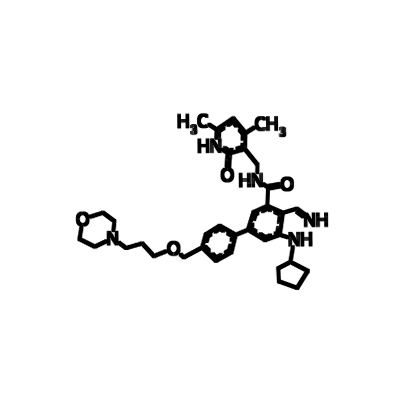 Cc1cc(C)c(CNC(=O)c2cc(-c3ccc(COCCCN4CCOCC4)cc3)cc(NC3CCCC3)c2C=N)c(=O)[nH]1